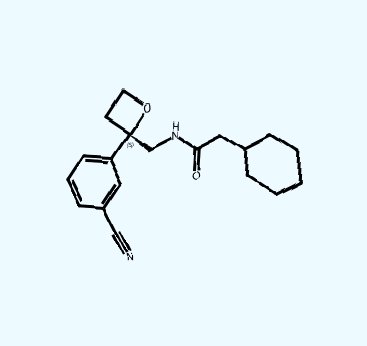 N#Cc1cccc([C@]2(CNC(=O)CC3CCCCC3)CCO2)c1